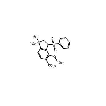 CCCCCCCCOc1c(C(=O)O)ccc2c1C(S(=O)(=O)c1ccccc1)CS2(O)O